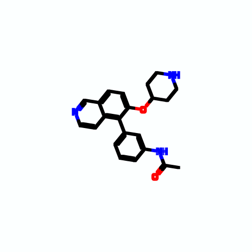 CC(=O)Nc1cccc(-c2c(OC3CCNCC3)ccc3cnccc23)c1